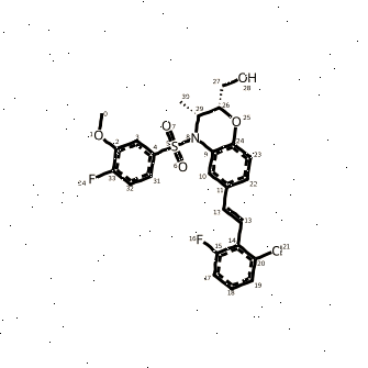 COc1cc(S(=O)(=O)N2c3cc(/C=C/c4c(F)cccc4Cl)ccc3O[C@@H](CO)[C@H]2C)ccc1F